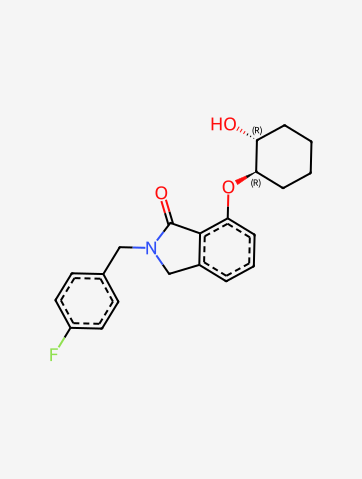 O=C1c2c(cccc2O[C@@H]2CCCC[C@H]2O)CN1Cc1ccc(F)cc1